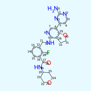 Nc1nccc(-c2cnc(NCc3cccc(C(=O)NC4CCOCC4)c3F)c3c2OCC3)n1